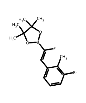 Cc1c(Br)cccc1C=C(F)B1OC(C)(C)C(C)(C)O1